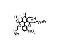 CCCOCCOC(=O)C1=C(C)NC(CO)=C(C(=O)OCCOCCC)C1c1cccc([N+](=O)[O-])c1